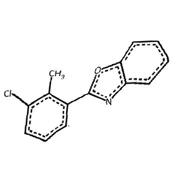 Cc1c(-c2nc3ccccc3o2)[c]ccc1Cl